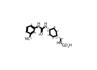 N#Cc1cccc(NC(=O)N[C@H]2CC[C@@H](CNC(=O)O)CC2)c1